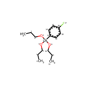 CCCO[Si](OCCC)(OCCC)c1ccc(F)cc1